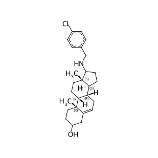 C[C@]12CCC(O)CC1=CC[C@@H]1[C@H]2CC[C@]2(C)C(NCc3ccc(Cl)cc3)CC[C@@H]12